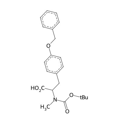 CN(C(=O)OC(C)(C)C)C(Cc1ccc(OCc2ccccc2)cc1)C(=O)O